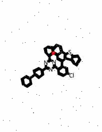 Clc1ccc(-c2nc(-c3ccccc3)nc(-c3ccc(-c4ccccc4)cc3)n2)c(-c2cc3ccccc3c3sc4ccccc4c23)c1